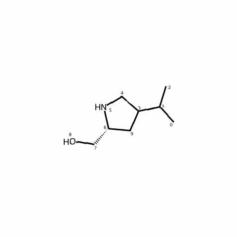 CC(C)C1CN[C@@H](CO)C1